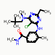 CCc1nc(Nc2cc(C(=O)NC)ccc2C)c(Cl)c(N(C)CC(C)(C)C)n1